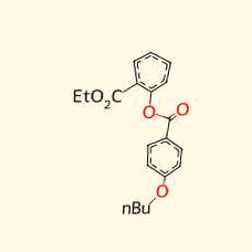 CCCCOc1ccc(C(=O)Oc2ccccc2C(=O)OCC)cc1